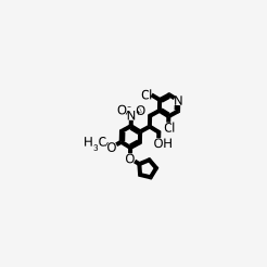 COc1cc([N+](=O)[O-])c(C(CO)Cc2c(Cl)cncc2Cl)cc1OC1CCCC1